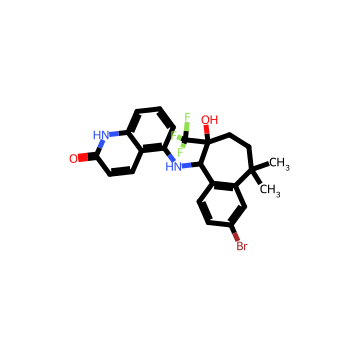 CC1(C)CCC(O)(C(F)(F)F)C(Nc2cccc3[nH]c(=O)ccc23)c2ccc(Br)cc21